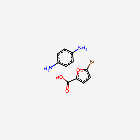 Nc1ccc(N)cc1.O=C(O)c1ccc(Br)o1